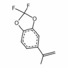 C=C(C)c1ccc2c(c1)OC(F)(F)O2